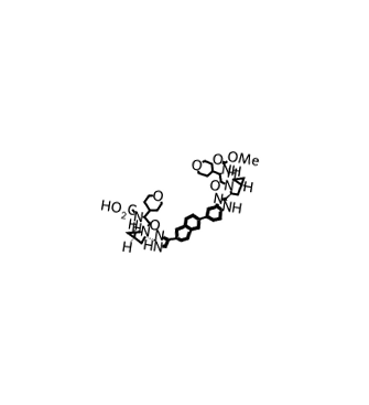 COC(=O)N[C@H](C(=O)N1[C@@H]2C[C@H]2C[C@H]1c1nc2cc(-c3ccc4cc(-c5c[nH]c([C@@H]6C[C@H]7C[C@H]7N6C(=O)[C@@H](NC(=O)O)C6CCOCC6)n5)ccc4c3)ccc2[nH]1)C1CCOCC1